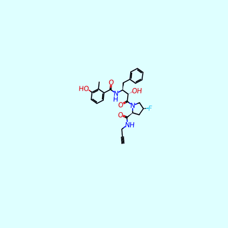 C#CCNC(=O)[C@@H]1C[C@H](F)CN1C(=O)[C@@H](O)[C@H](Cc1ccccc1)NC(=O)c1cccc(O)c1C